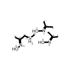 CC(C)=NO.CC(C)=NO.C[SiH2]CC(C)=NO